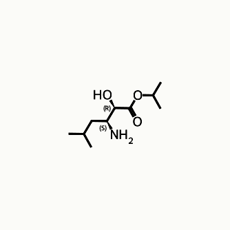 CC(C)C[C@H](N)[C@@H](O)C(=O)OC(C)C